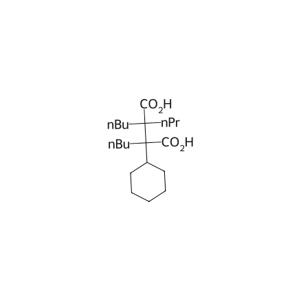 CCCCC(CCC)(C(=O)O)C(CCCC)(C(=O)O)C1CCCCC1